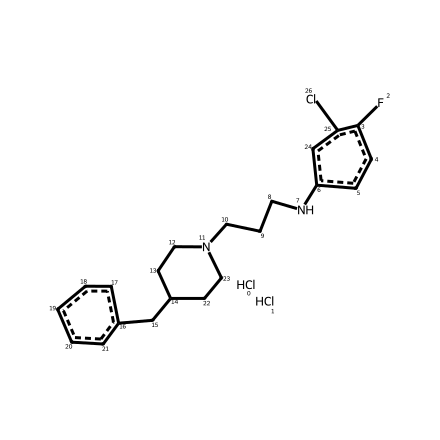 Cl.Cl.Fc1ccc(NCCCN2CCC(Cc3ccccc3)CC2)cc1Cl